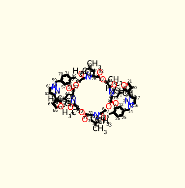 CC(C)C[C@H]1C(=O)O[C@H](Cc2ccc(Cn3ccc(-c4ccoc4)n3)cc2)C(=O)N(C)[C@@H](CC(C)C)C(=O)O[C@H](C)C(=O)N(C)[C@@H](CC(C)C)C(=O)O[C@H](Cc2ccc(Cn3ccc(-c4ccoc4)n3)cc2)C(=O)N(C)[C@@H](CC(C)C)C(=O)O[C@H](C)C(=O)N1C